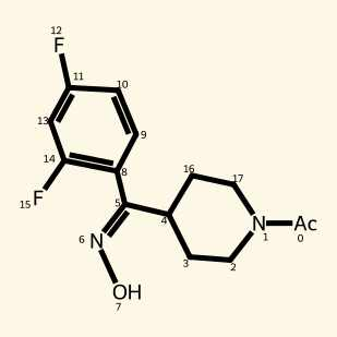 CC(=O)N1CCC(/C(=N\O)c2ccc(F)cc2F)CC1